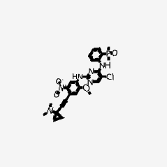 COc1cc(C#CC2(N(C)C)CC2)c([N+](=O)[O-])cc1Nc1ncc(Cl)c(Nc2ccccc2P(C)(C)=O)n1